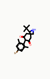 Cc1cc(Br)cc(C)c1C1C(=O)CC2(CNC2C(C)(C)C)CC1=O